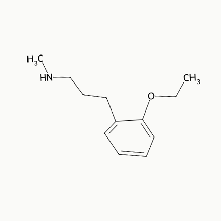 CCOc1ccccc1CCCNC